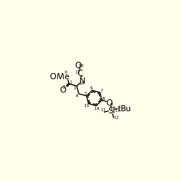 COC(=O)C(Cc1ccc(O[Si](C)(C)C(C)(C)C)cc1)N=C=O